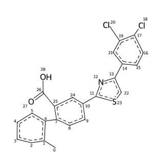 Cc1ccccc1-c1ccc(-c2nc(-c3ccc(Cl)c(Cl)c3)cs2)cc1C(=O)O